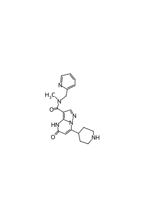 CN(Cc1ccccn1)C(=O)c1cnn2c(C3CCNCC3)cc(=O)[nH]c12